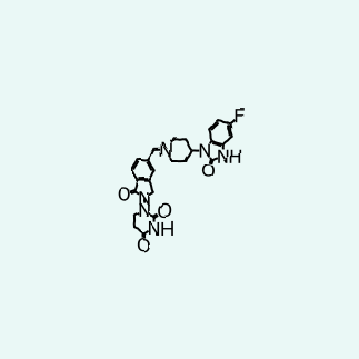 O=C1CCN(N2Cc3cc(CN4CCC(n5c(=O)[nH]c6cc(F)ccc65)CC4)ccc3C2=O)C(=O)N1